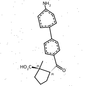 C[C@@]1(C(=O)O)CCC[C@H]1C(=O)c1ccc(-c2ccc(N)cc2)cc1